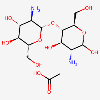 CC(=O)O.N[C@H]1[C@H](O[C@H]2[C@H](O)[C@@H](N)C(O)O[C@@H]2CO)O[C@H](CO)[C@@H](O)[C@@H]1O